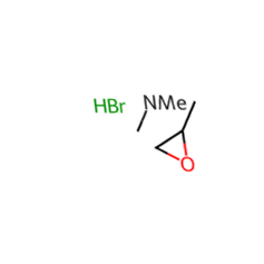 Br.CC1CO1.CNC